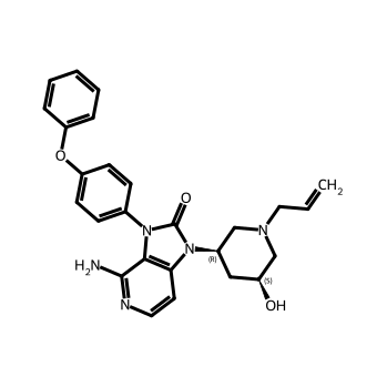 C=CCN1C[C@@H](O)C[C@@H](n2c(=O)n(-c3ccc(Oc4ccccc4)cc3)c3c(N)nccc32)C1